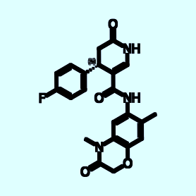 Cc1cc2c(cc1NC(=O)C1=CNC(=O)C[C@H]1c1ccc(F)cc1)N(C)C(=O)CO2